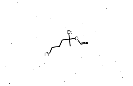 C=COC(C)(CC)CCCC(C)C